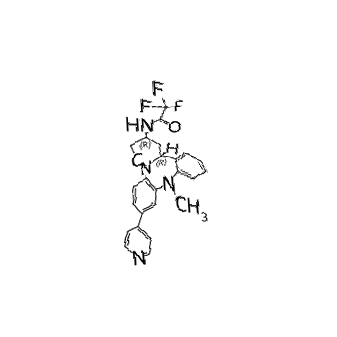 CN1c2ccccc2[C@H]2C[C@H](NC(=O)C(F)(F)F)CCN2c2ccc(-c3ccncc3)cc21